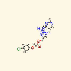 Cc1ncc(Cn2cc(COC(=O)COc3ccc(Cl)cc3)nn2)c(N)n1